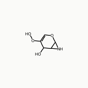 OOC1=COC2NC2C1O